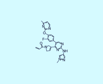 C=CC(=O)N1CC=C(c2nc(Nc3cnn(C)c3)ncc2-c2ccc(Oc3nccc(C)n3)c(F)c2)C1